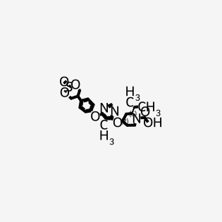 Cc1c(Oc2ccc(C3COS(=O)OC3)cc2)ncnc1O[C@@H]1CCN(C(=O)O)[C@H](C(C)C)C1